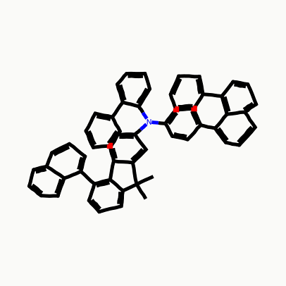 CC1(C)c2cc(N(c3ccc(-c4cccc5cccc(-c6ccccc6)c45)cc3)c3ccccc3-c3ccccc3)ccc2-c2c(-c3cccc4ccccc34)cccc21